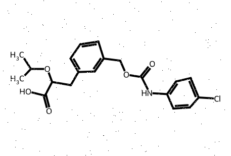 CC(C)OC(Cc1cccc(COC(=O)Nc2ccc(Cl)cc2)c1)C(=O)O